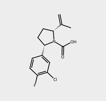 C=C(C)[C@H]1CC[C@@H](c2ccc(F)c(Cl)c2)N1C(=O)O